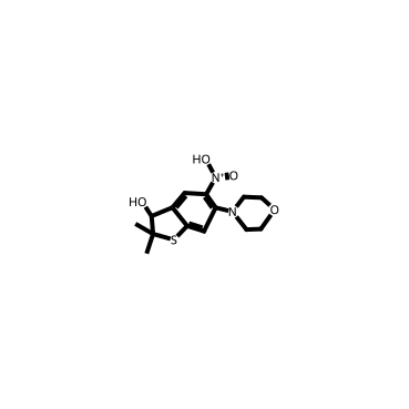 CC1(C)Sc2cc(N3CCOCC3)c([N+](=O)O)cc2C1O